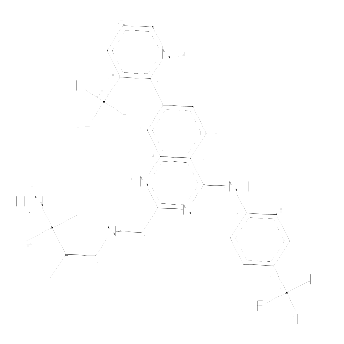 CC(CNCc1nc(Nc2ccc(C(F)(F)F)cc2)c2ccc(-c3ncccc3C(F)(F)F)cc2n1)C(C)(C)N